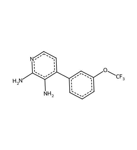 Nc1nccc(-c2cccc(OC(F)(F)F)c2)c1N